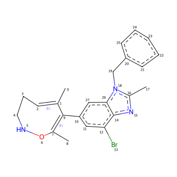 CC1=C\CCNO/C(C)=C\1c1cc(Br)c2nc(C)n(Cc3ccccc3)c2c1